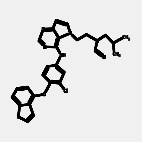 CC(C)CN(C=O)CCn1ccc2ncnc(Nc3ccc(Oc4cccc5sccc45)c(Cl)c3)c21